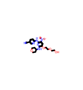 N#Cc1ccc(Nc2nc(NC3CCOCC3)c(OCCOCCO)cc2[N+](=O)[O-])nc1